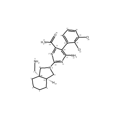 NC[C@@]12CCCC[C@@H]1CN(c1nc(N)c(-c3cccc(Cl)c3Cl)c(C(N)=O)n1)C2